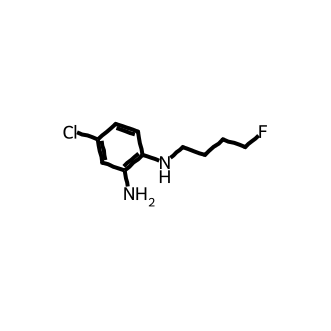 Nc1cc(Cl)ccc1NCCCCF